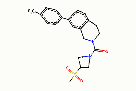 CS(=O)(=O)C1CN(C(=O)N2CCc3ccc(-c4ccc(C(F)(F)F)cc4)cc3C2)C1